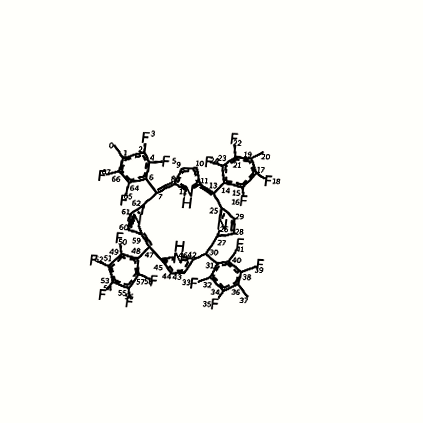 Cc1c(F)c(F)c(/C2=c3\cc/c([nH]3)=C(\c3c(F)c(F)c(C)c(F)c3F)C3=NC(C=C3)C(c3c(F)c(F)c(C)c(F)c3F)c3ccc([nH]3)/C(c3c(F)c(F)c(F)c(F)c3F)=C3/C=CC2=N3)c(F)c1F